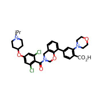 CC(C)N1CCC(Oc2cc(Cl)c(C(=O)N3COc4c(cccc4-c4ccc(C(=O)O)c(N5CCOCC5)c4)C3)c(Cl)c2)CC1